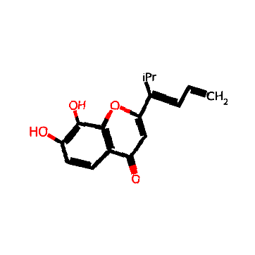 C=C/C=C(/c1cc(=O)c2ccc(O)c(O)c2o1)C(C)C